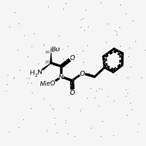 CC[C@H](C)[C@H](N)C(=O)N(OC)C(=O)OCc1ccccc1